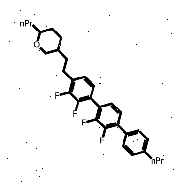 CCCc1ccc(-c2ccc(-c3ccc(CCC4CCC(CCC)OC4)c(F)c3F)c(F)c2F)cc1